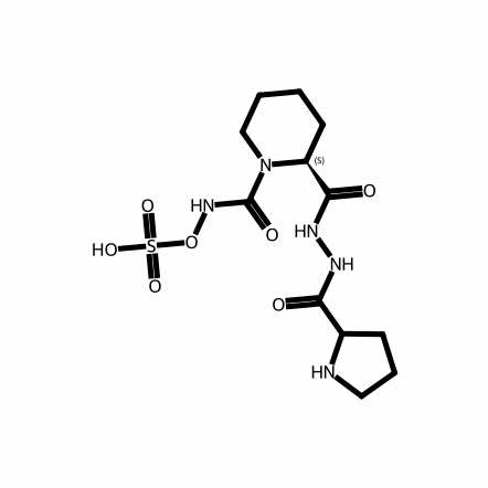 O=C(NNC(=O)[C@@H]1CCCCN1C(=O)NOS(=O)(=O)O)C1CCCN1